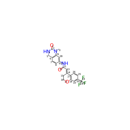 CN1C(=O)NCc2ccc(NC(=O)/C=C3\CCOc4cc(C(F)(F)F)ccc43)cc21